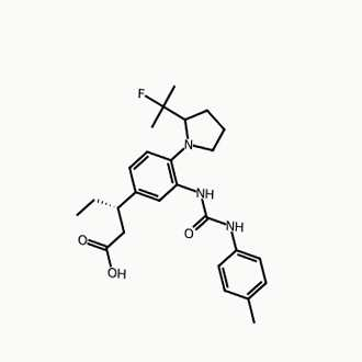 CC[C@@H](CC(=O)O)c1ccc(N2CCCC2C(C)(C)F)c(NC(=O)Nc2ccc(C)cc2)c1